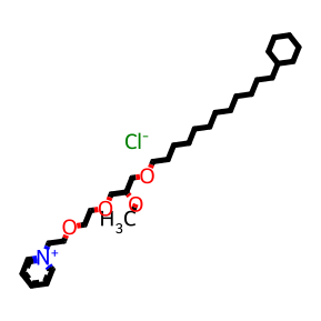 COC(COCCCCCCCCCCCCC1CCCCC1)COCCOCC[n+]1ccccc1.[Cl-]